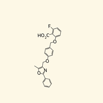 Cc1oc(-c2ccccc2)nc1COc1ccc(COc2cccc(F)c2C(=O)O)cc1